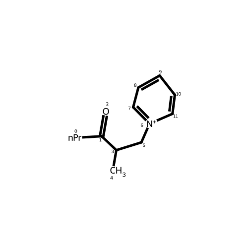 CCCC(=O)C(C)C[n+]1ccccc1